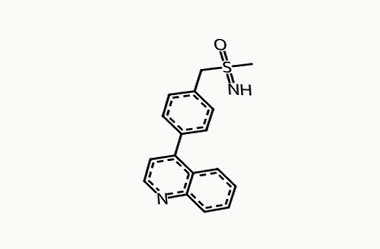 CS(=N)(=O)Cc1ccc(-c2ccnc3ccccc23)cc1